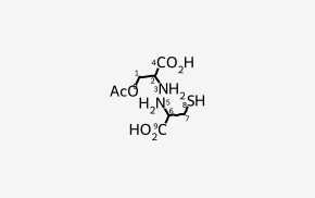 CC(=O)OCC(N)C(=O)O.NC(CS)C(=O)O